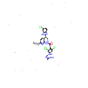 COc1ccc(C(CNC(=O)c2c(Cl)cc(N/C=N\C(C)=N)cc2Cl)c2nc3ccc(Cl)cc3[nH]2)cn1